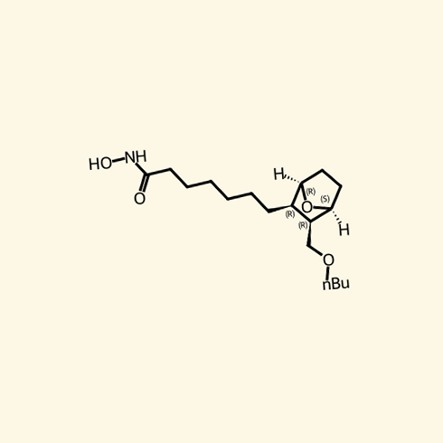 CCCCOC[C@H]1[C@@H](CCCCCCC(=O)NO)[C@H]2CC[C@@H]1O2